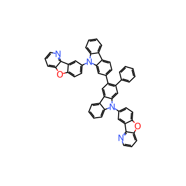 c1ccc(-c2cc3c(cc2-c2ccc4c5ccccc5n(-c5ccc6oc7cccnc7c6c5)c4c2)c2ccccc2n3-c2ccc3oc4cccnc4c3c2)cc1